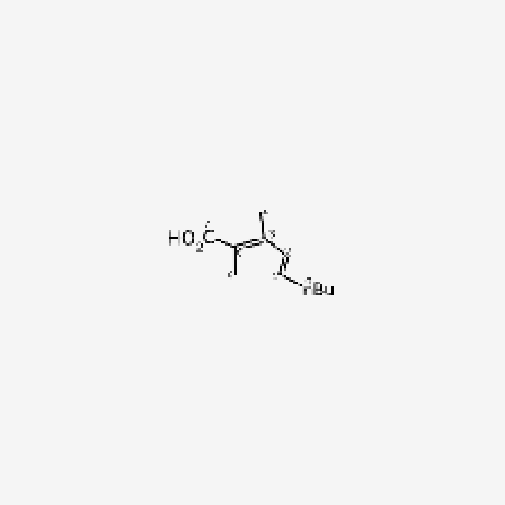 CCCCC=CC(C)=C(C)C(=O)O